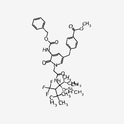 COC(=O)c1ccc(Cc2cc(NC(=O)OCc3ccccc3)c(=O)n(CC(=O)NC(O[SiH](C)C)(C(C)C)C(C(C)(C)C)C(F)(F)F)c2)cc1